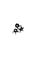 FC1=C(F)C(F)C2=Nc3ccccc3N(c3ccc(F)c(F)c3F)C1=C2